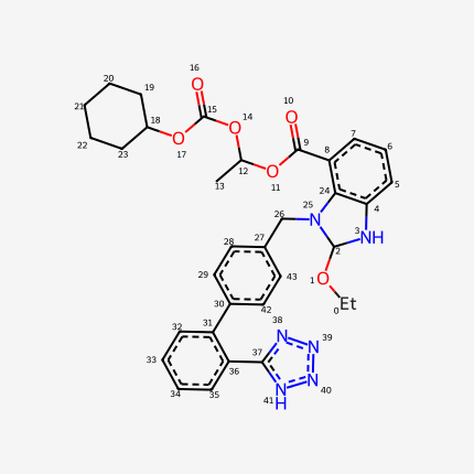 CCOC1Nc2cccc(C(=O)OC(C)OC(=O)OC3CCCCC3)c2N1Cc1ccc(-c2ccccc2-c2nnn[nH]2)cc1